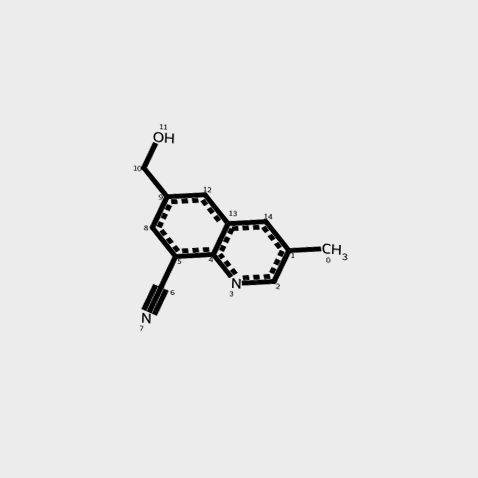 Cc1cnc2c(C#N)cc(CO)cc2c1